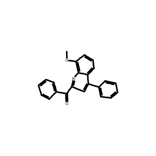 COc1cccc2c(-c3ccccc3)cc(C(=O)c3ccccc3)nc12